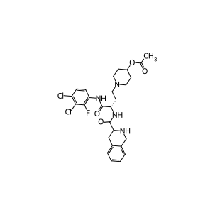 CC(=O)OC1CCN(CC[C@H](NC(=O)C2Cc3ccccc3CN2)C(=O)Nc2ccc(Cl)c(Cl)c2F)CC1